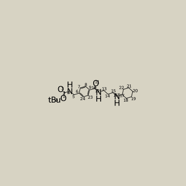 CC(C)(C)OC(=O)NCc1ccc(C(=O)NCCCNC2CCCCC2)cc1